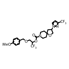 COc1ccc(COCC(OC(=O)N2CCC3(CC2)CC(n2ccc(C(F)(F)F)n2)CO3)C(F)(F)F)cc1